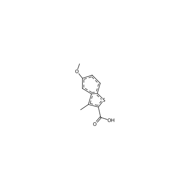 COc1ccc2sc(C(=O)O)c(C)c2c1